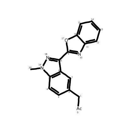 CC(=O)Cc1ccc2c(c1)c(-c1nc3ccccc3o1)nn2C